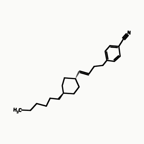 CCCCCC[C@H]1CC[C@H](/C=C/CCc2ccc(C#N)cc2)CC1